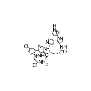 CC1CCCC(n2cnc(-c3cc(Cl)ccc3N(N)/C=C(\N)Cl)cc2=O)c2cc(ccn2)-c2c(cnn2-c2cc[nH]n2)NC1=O